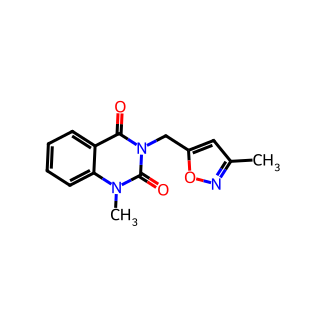 Cc1cc(Cn2c(=O)c3ccccc3n(C)c2=O)on1